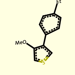 CCc1ccc(-c2cscc2OC)cc1